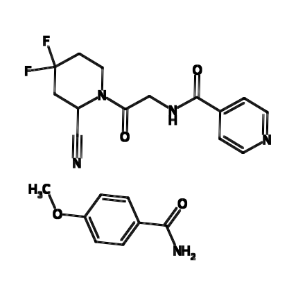 COc1ccc(C(N)=O)cc1.N#CC1CC(F)(F)CCN1C(=O)CNC(=O)c1ccncc1